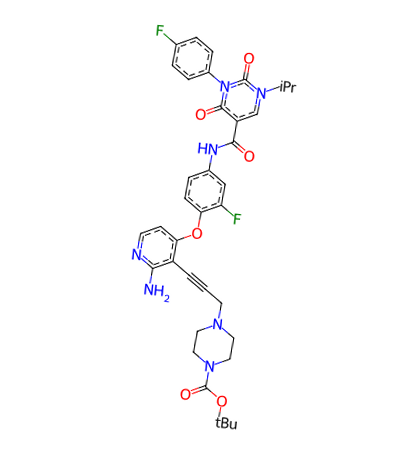 CC(C)n1cc(C(=O)Nc2ccc(Oc3ccnc(N)c3C#CCN3CCN(C(=O)OC(C)(C)C)CC3)c(F)c2)c(=O)n(-c2ccc(F)cc2)c1=O